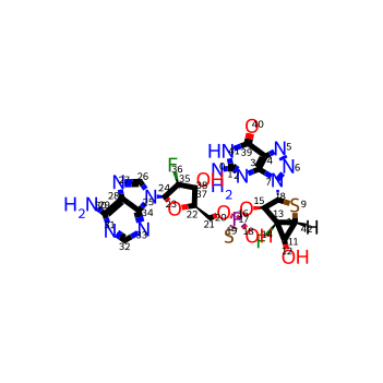 Nc1nc2c(nnn2[C@@H]2S[C@@H]3C(O)[C@]3(F)[C@H]2OP(O)(=S)OC[C@H]2O[C@@H](n3cnc4c(N)ncnc43)[C@@H](F)[C@@H]2O)c(=O)[nH]1